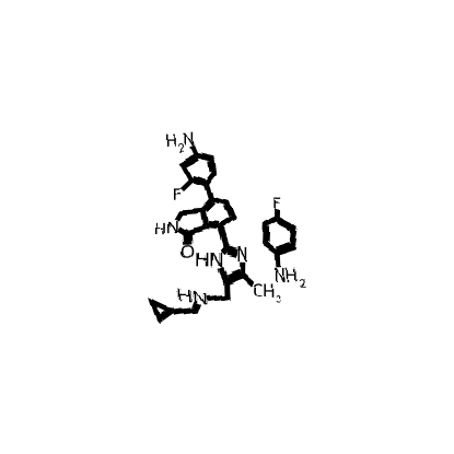 Cc1nc(-c2ccc(-c3ccc(N)cc3F)c3c2C(=O)NC3)[nH]c1CNCC1CC1.Nc1ccc(F)cc1